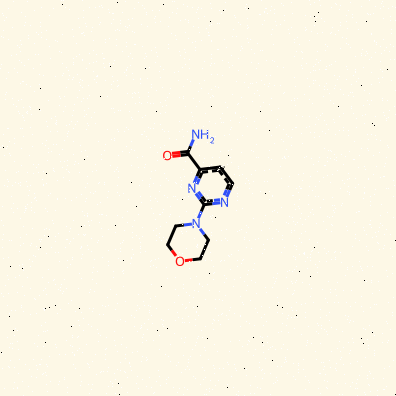 NC(=O)c1[c]cnc(N2CCOCC2)n1